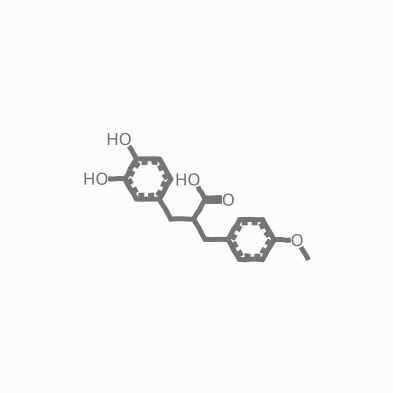 COc1ccc(CC(Cc2ccc(O)c(O)c2)C(=O)O)cc1